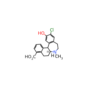 CN1CCc2cc(Cl)c(O)cc2C2c3cccc(C(=O)O)c3CC[C@@H]21